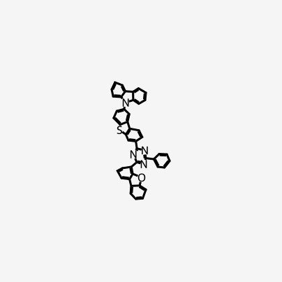 c1ccc(-c2nc(-c3ccc4c(c3)sc3ccc(-n5c6ccccc6c6ccccc65)cc34)nc(-c3cccc4c3oc3ccccc34)n2)cc1